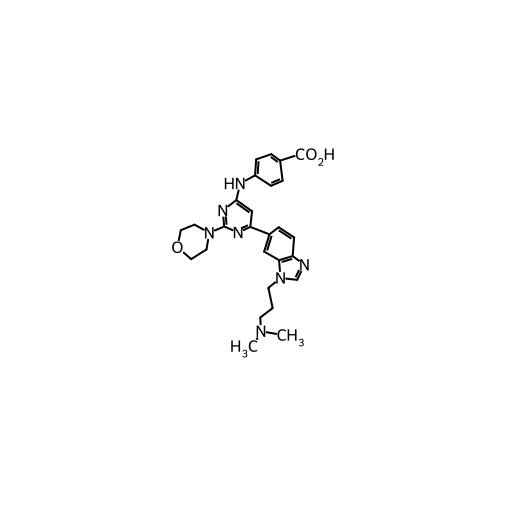 CN(C)CCCn1cnc2ccc(-c3cc(Nc4ccc(C(=O)O)cc4)nc(N4CCOCC4)n3)cc21